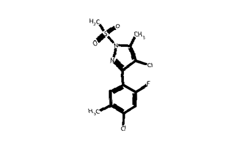 Cc1cc(-c2nn(S(C)(=O)=O)c(C)c2Cl)c(F)cc1Cl